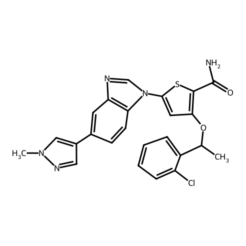 CC(Oc1cc(-n2cnc3cc(-c4cnn(C)c4)ccc32)sc1C(N)=O)c1ccccc1Cl